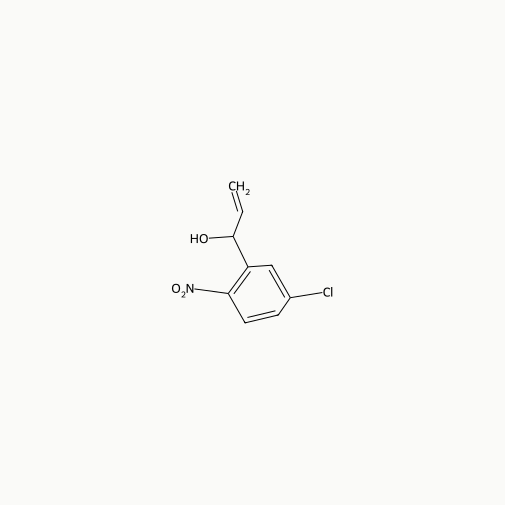 C=CC(O)c1cc(Cl)ccc1[N+](=O)[O-]